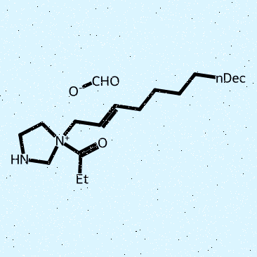 CCCCCCCCCCCCCCC=CC[N+]1(C(=O)CC)CCNC1.O=C[O-]